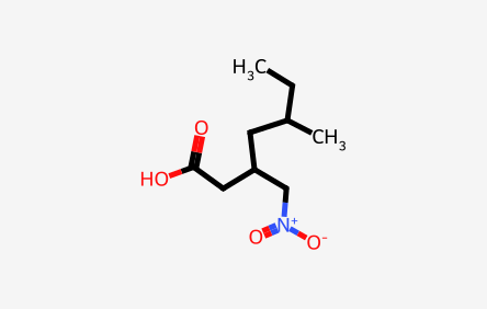 CCC(C)CC(CC(=O)O)C[N+](=O)[O-]